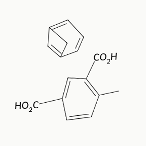 Cc1ccc(C(=O)O)cc1C(=O)O.c1cc2cc(c1)C2